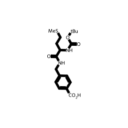 CSCCC(NC(=O)OC(C)(C)C)C(=O)NCc1ccc(C(=O)O)cc1